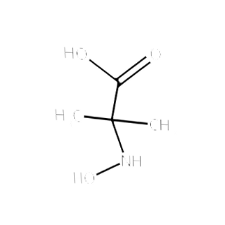 CC(C)(NO)C(=O)O